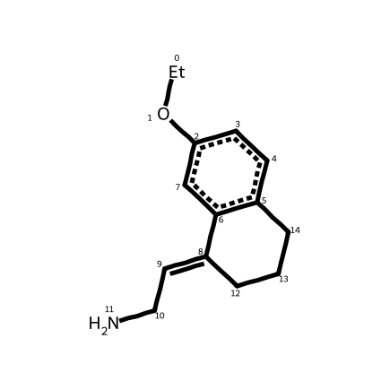 CCOc1ccc2c(c1)C(=CCN)CCC2